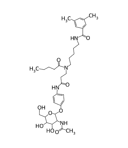 CCCCC(=O)N(CCCCCNC(=O)c1cc(C)cc(C)c1)CCC(=O)Nc1ccc(OC2OC(CO)C(O)C(O)C2NC(C)=O)cc1